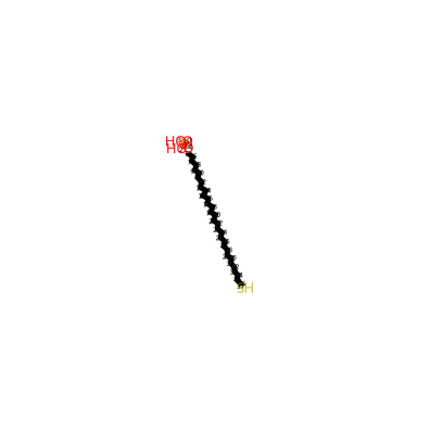 O=P(O)(O)OCCCCCCCCCCCCCCCCCCCCCCCCCCCCCCCCS